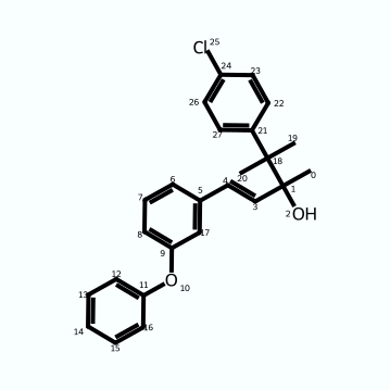 CC(O)(C=Cc1cccc(Oc2ccccc2)c1)C(C)(C)c1ccc(Cl)cc1